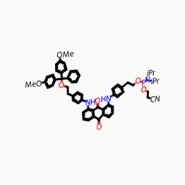 COc1ccc(C(OCCc2ccc(Nc3cccc4c3C(=O)c3c(Nc5ccc(CCOP(OCCC#N)N(C(C)C)C(C)C)cc5)cccc3C4=O)cc2)(c2ccccc2)c2ccc(OC)cc2)cc1